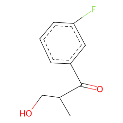 CC(CO)C(=O)c1cccc(F)c1